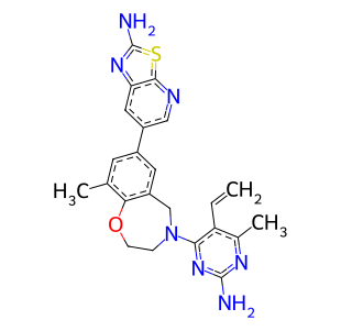 C=Cc1c(C)nc(N)nc1N1CCOc2c(C)cc(-c3cnc4sc(N)nc4c3)cc2C1